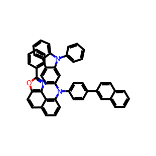 c1ccc(-c2nc3c(ccc4cccc(N(c5ccc(-c6ccc7ccccc7c6)cc5)c5ccc6c7ccccc7n(-c7ccccc7)c6c5)c43)o2)cc1